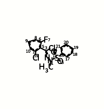 CN(N=C(Cl)c1c(F)cccc1Cl)S(=O)(=O)c1ccccc1